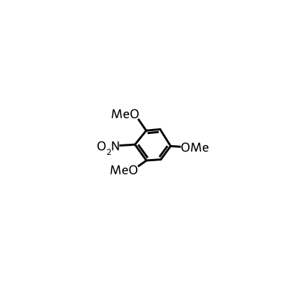 COc1cc(OC)c([N+](=O)[O-])c(OC)c1